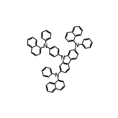 c1ccc(N(c2ccc(-n3c4cc(N(c5ccccc5)c5cccc6ccccc56)ccc4c4ccc(N(c5ccccc5)c5cccc6ccccc56)cc43)cc2)c2cccc3ccccc23)cc1